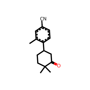 Cc1cc(C#N)ccc1C1CCC(C)(C)C(=O)C1